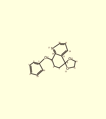 c1ccc(OC2CCC3(OCCO3)c3cccnc32)cc1